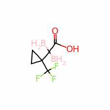 BC(B)(C(=O)O)C1(C(F)(F)F)CC1